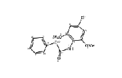 COc1cc(Cl)cc(OC)c1NC(=O)Oc1ccccc1